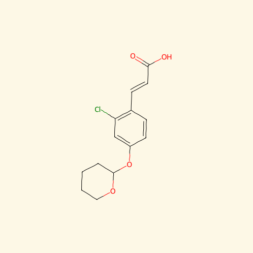 O=C(O)/C=C/c1ccc(OC2CCCCO2)cc1Cl